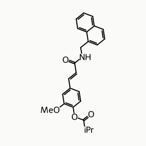 COc1cc(/C=C/C(=O)NCc2cccc3ccccc23)ccc1OC(=O)C(C)C